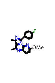 COc1ccc2nc(C)c3c(C)nc(-c4ccc(F)cc4)n3c2n1